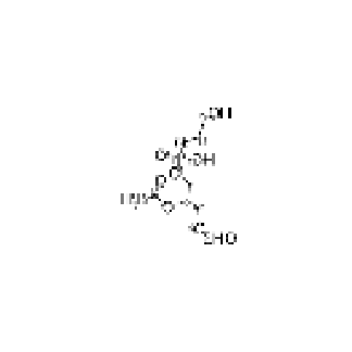 BC(=O)O[C@H](COC=O)COP(=O)(O)OCCO